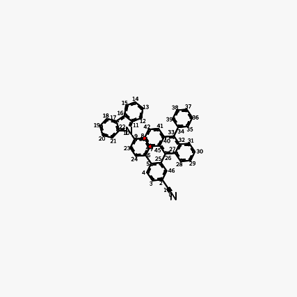 N#Cc1ccc(-c2ccc(-n3c4ccccc4c4ccccc43)cc2)c(-c2c3ccccc3c(-c3ccccc3)c3ccccc23)c1